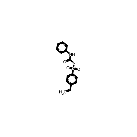 C=Cc1ccc(S(=O)(=O)NC(=O)Nc2ccccc2)cc1